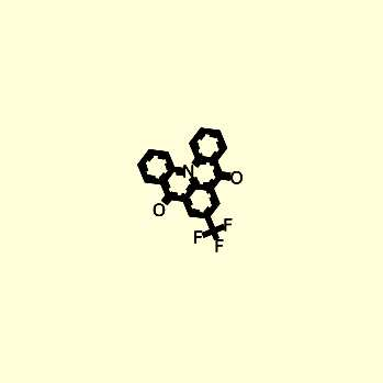 O=c1c2ccccc2n2c3ccccc3c(=O)c3cc(C(F)(F)F)cc1c32